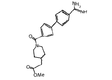 COC(=O)CC1CCN(C(=O)c2ccc(-c3ccc(C(=N)N)cc3)cc2)CC1